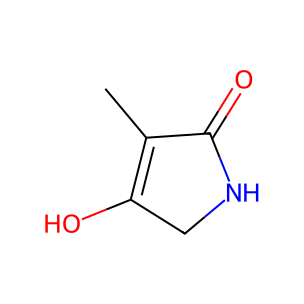 CC1=C(O)CNC1=O